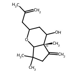 C=C(C)CC1CC(O)[C@]2(C)C(=C)CC(C)(C)C2O1